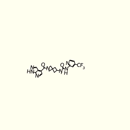 CN(C(=O)Nc1cc(C(F)(F)F)ccn1)C1CC2(C1)CN(C(=O)c1ccnc3[nH]ncc13)C2